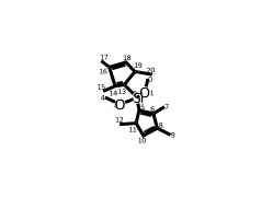 CO[Si](OC)(C1=C(C)C(C)=CC1C)C1=C(C)C(C)=CC1C